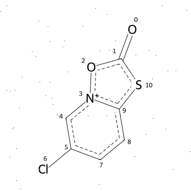 O=c1o[n+]2cc(Cl)ccc2s1